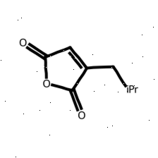 CC(C)CC1=CC(=O)OC1=O